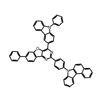 c1ccc(-c2ccc3c(c2)oc2c(-c4ccc5c(c4)c4ccccc4n5-c4ccccc4)nc(-c4ccc(-n5c6ccccc6c6c7ccccc7ccc65)cc4)nc23)cc1